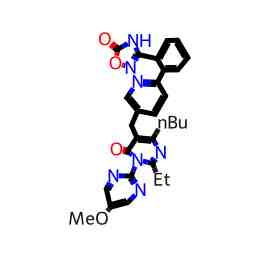 CCCCc1nc(CC)n(-c2ncc(OC)cn2)c(=O)c1Cc1ccc(-c2ccccc2-c2noc(=O)[nH]2)nc1